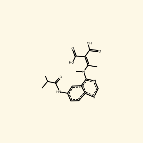 CC(=C(C(=O)O)C(=O)O)N(C)c1ncnc2ccc(NC(=O)C(C)C)cc12